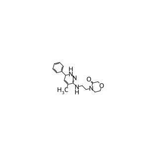 CC1=CC(c2ccccc2)NN=C1NCCN1CCOCC1=O